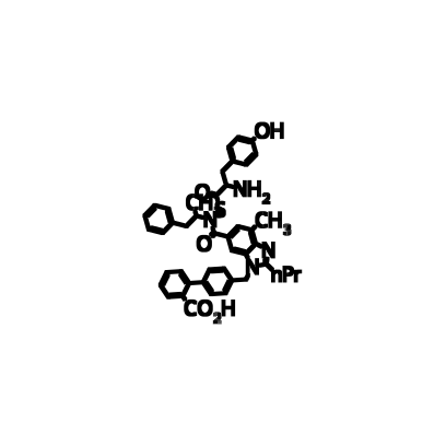 CCCc1nc2c(C)cc(C(=O)N(SC(=O)C(N)Cc3ccc(O)cc3)C(C)Cc3ccccc3)cc2n1Cc1ccc(-c2ccccc2C(=O)O)cc1